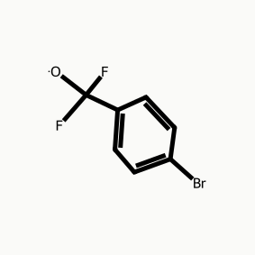 [O]C(F)(F)c1ccc(Br)cc1